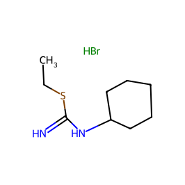 Br.CCSC(=N)NC1CCCCC1